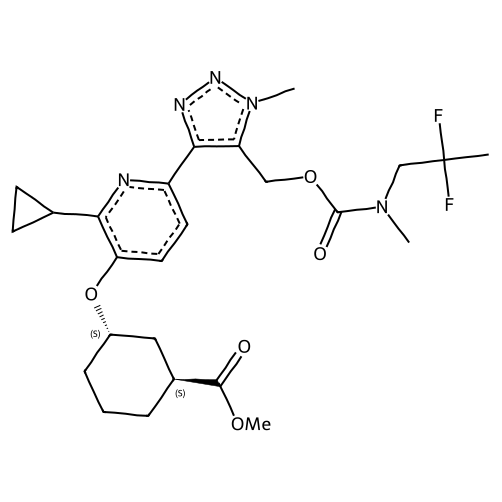 COC(=O)[C@H]1CCC[C@H](Oc2ccc(-c3nnn(C)c3COC(=O)N(C)CC(C)(F)F)nc2C2CC2)C1